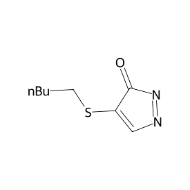 CCCCCSC1=CN=NC1=O